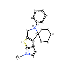 Cn1ccc2c3c(sc21)CN(c1ccccc1)C31CCCCC1